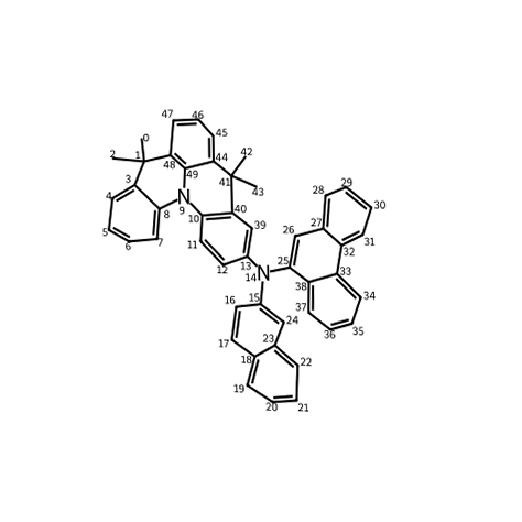 CC1(C)c2ccccc2N2c3ccc(N(c4ccc5ccccc5c4)c4cc5ccccc5c5ccccc45)cc3C(C)(C)c3cccc1c32